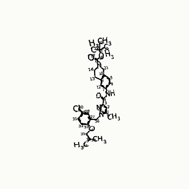 Cc1cc(C(=O)Nc2ccc3c(c2)CCN(C(=O)OC(C)(C)C)C3)nn1Cc1cc(Cl)ccc1OCC(C)C